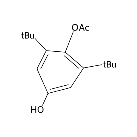 CC(=O)Oc1c(C(C)(C)C)cc(O)cc1C(C)(C)C